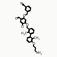 Cc1c(COc2cc(OCc3cccc(C#N)c3)c(C=O)cc2Cl)cccc1-c1cccc(OCCCN)c1C